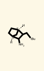 CC(C)(C)CC1C(N)[C@H]2CC[C@@H]1C2